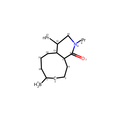 BC1CCCC2C(=O)N(C(C)C)CC(CCC)C2CCC1